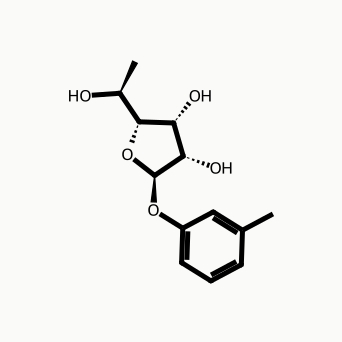 Cc1cccc(O[C@H]2O[C@H]([C@H](C)O)[C@H](O)[C@@H]2O)c1